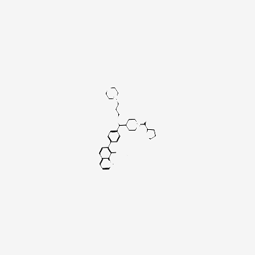 Cc1c(-c2ccc(C(OCCCN3CCOCC3)C3CCN(C(=O)C4CCCO4)CC3)cc2)ccc2cccnc12